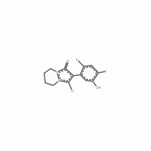 O=c1c(-c2cc(O)c(F)cc2F)c(Cl)n2n1CCCC2